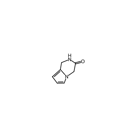 O=C1Cn2cccc2CN1